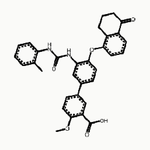 COc1ccc(-c2ccc(Oc3cccc4c3CCCC4=O)c(NC(=O)Nc3ccccc3C)c2)cc1C(=O)O